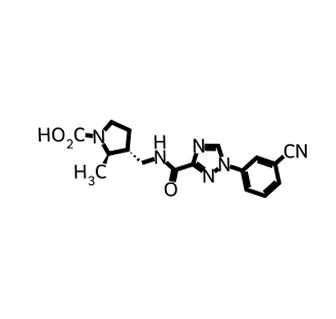 C[C@@H]1[C@@H](CNC(=O)c2ncn(-c3cccc(C#N)c3)n2)CCN1C(=O)O